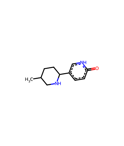 CC1CCC(c2ccc(=O)[nH]c2)NC1